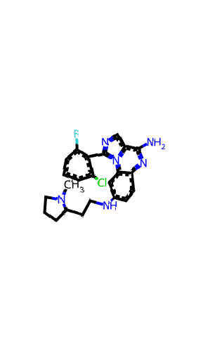 CN1CCCC1CCNc1ccc2nc(N)c3cnc(-c4c(F)cccc4Cl)n3c2c1